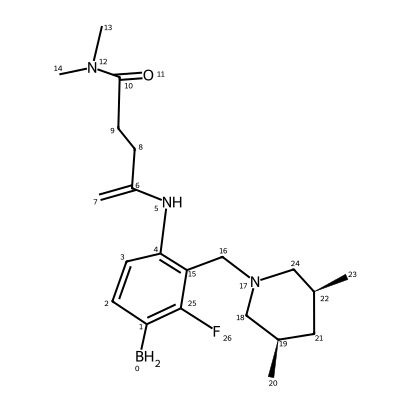 Bc1ccc(NC(=C)CCC(=O)N(C)C)c(CN2C[C@H](C)C[C@H](C)C2)c1F